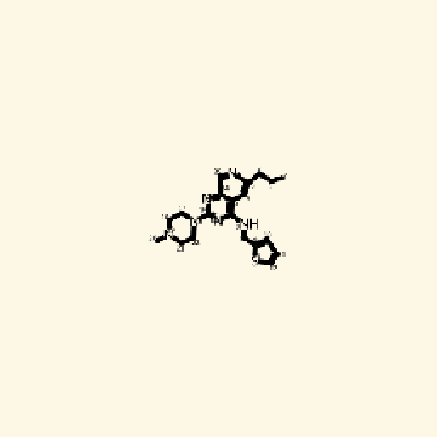 CCCc1cc2c(NCc3cccs3)nc(N3CCN(C)CC3)nc2cn1